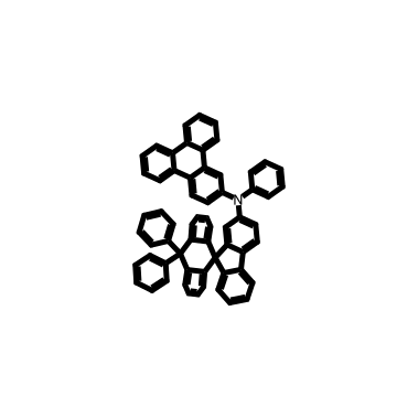 c1ccc(N(c2ccc3c(c2)C2(c4ccccc4-3)c3ccccc3C(c3ccccc3)(c3ccccc3)c3ccccc32)c2ccc3c4ccccc4c4ccccc4c3c2)cc1